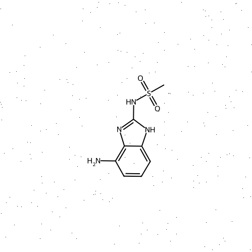 CS(=O)(=O)Nc1nc2c(N)cccc2[nH]1